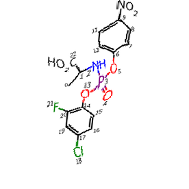 CC(NP(=O)(Oc1ccc([N+](=O)[O-])cc1)Oc1ccc(Cl)cc1F)C(=O)O